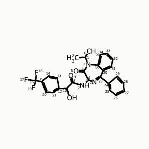 CC(C)N1C(=O)[C@H](NC(=O)C(O)c2ccc(C(F)(F)F)cc2)N=C(c2ccccc2)c2ccccc21